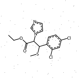 CCOC(=O)C(C(SC)c1ccc(Cl)cc1Cl)n1ccnc1